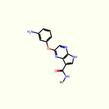 CC(C)NC(=O)c1c[nH]c2ncc(Oc3cccc(N)c3)nc12